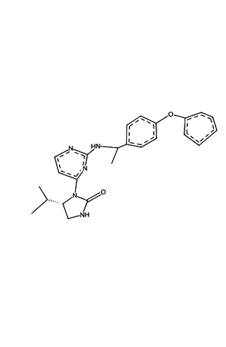 CC(Nc1nccc(N2C(=O)NC[C@@H]2C(C)C)n1)c1ccc(Oc2ccccc2)cc1